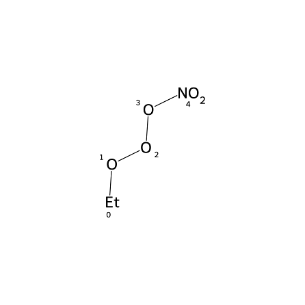 CCOOO[N+](=O)[O-]